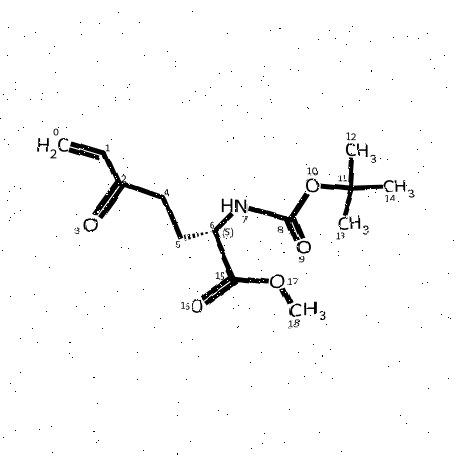 C=CC(=O)CC[C@H](NC(=O)OC(C)(C)C)C(=O)OC